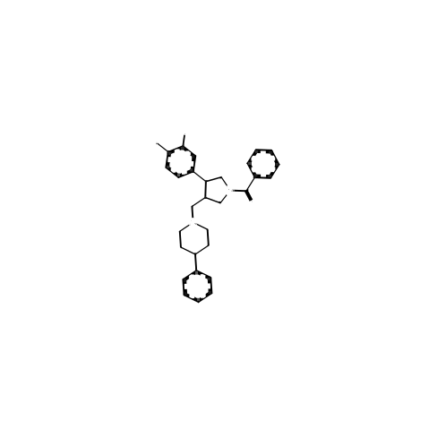 O=C(c1ccccc1)N1CC(CN2CCC(c3ccccc3)CC2)C(c2ccc(Cl)c(Cl)c2)C1